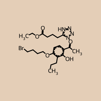 CCCc1c(OCCCCBr)ccc(C(C)=O)c1O.CCOC(=O)CCCc1nnn[nH]1